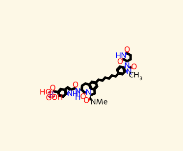 CNC(=O)[C@@H]1Cc2cc(CCCCCCc3ccc4c(c3)n(C)c(=O)n4C3CCC(=O)NC3=O)cc3c2N1C(=O)[C@@H](NC(=O)c1cc2cc(C(=O)P(=O)(O)O)ccc2[nH]1)CC3